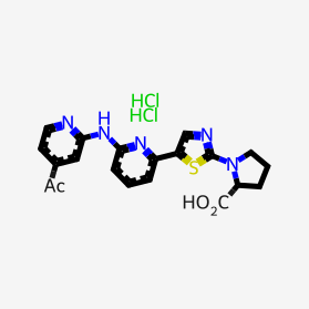 CC(=O)c1ccnc(Nc2cccc(-c3cnc(N4CCCC4C(=O)O)s3)n2)c1.Cl.Cl